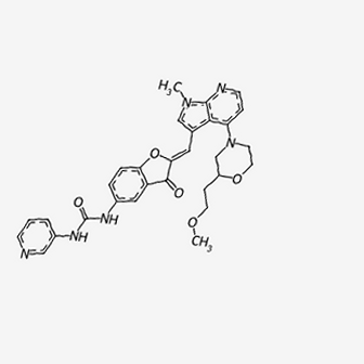 COCCC1CN(c2ccnc3c2c(C=C2Oc4ccc(NC(=O)Nc5cccnc5)cc4C2=O)cn3C)CCO1